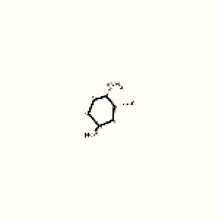 C[C@@H]1CC(O)CC[C@@H]1N